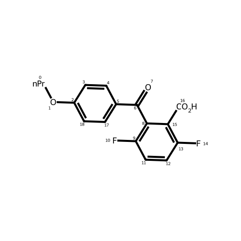 CCCOc1ccc(C(=O)c2c(F)ccc(F)c2C(=O)O)cc1